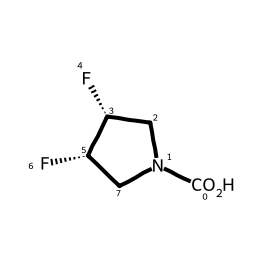 O=C(O)N1C[C@@H](F)[C@@H](F)C1